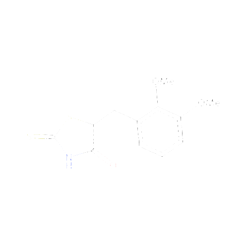 COc1cccc(CC2SC(=S)NC2=O)c1OC